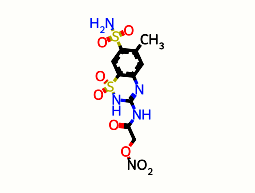 Cc1cc2c(cc1S(N)(=O)=O)S(=O)(=O)NC(NC(=O)CO[N+](=O)[O-])=N2